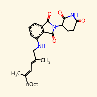 CCCCCCCC/C(C)=C/C=C(\C)CNc1cccc2c1C(=O)N(C1CCC(=O)NC1=O)C2=O